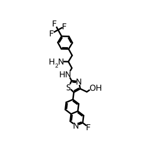 NC(CNc1nc(CO)c(-c2ccc3cnc(F)cc3c2)s1)Cc1ccc(C(F)(F)F)cc1